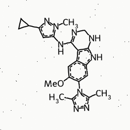 COc1cc2c3c([nH]c2cc1-n1c(C)nnc1C)NCN=C3Nc1cc(C2CC2)nn1C